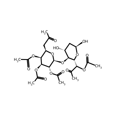 CC(=O)C[C@H]1O[C@@H](O[C@H]2[C@H](O)C[C@@H](O)O[C@@H]2C(OC(C)=O)C(C)=O)[C@H](OC(C)=O)[C@@H](OC(C)=O)[C@H]1OC(C)=O